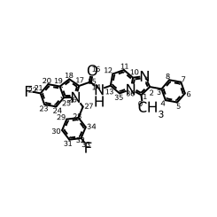 Cc1c(-c2ccccc2)nc2ccc(NC(=O)c3cc4cc(F)ccc4n3Cc3cccc(F)c3)cn12